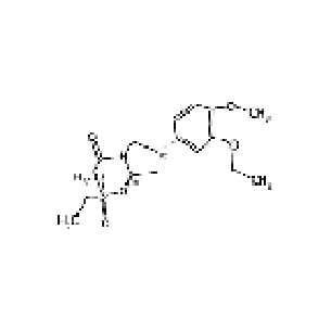 CCOc1cc([C@@H]2C[C@@H](OS(=O)(=O)CC)N(C(C)=O)C2)ccc1OC